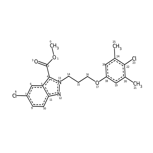 COC(=O)c1c2cc(Cl)ccc2nn1CCCOc1cc(C)c(Cl)c(C)c1